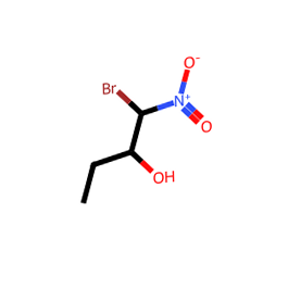 CCC(O)C(Br)[N+](=O)[O-]